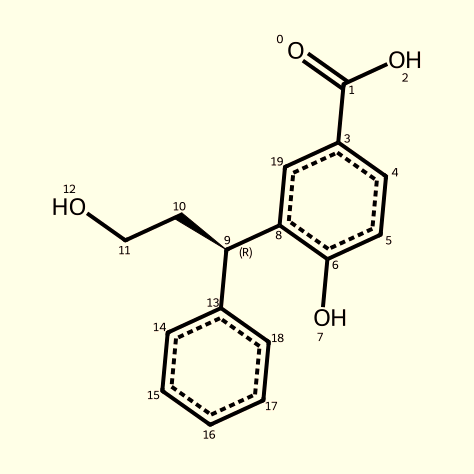 O=C(O)c1ccc(O)c([C@H](CCO)c2ccccc2)c1